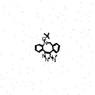 CN(C)n1nnc2c1-c1ccccc1CN(OC(C)(C)C)c1ccccc1-2